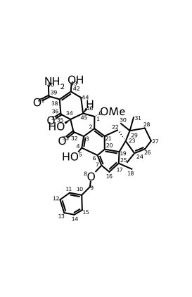 CO[C@@H]1c2c(c(O)c3c(OCc4ccccc4)cc(C)c4c3c2C[C@]42C(C)=CCCC2(C)C)C(=O)[C@]2(O)C(=O)C(C(N)=O)=C(O)C[C@H]12